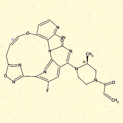 C=CC(=O)N1CCN(c2nc(=O)n3c4nc(c(F)cc24)-c2noc(n2)C/C=C\Oc2ccnc(C(C)C)c2-3)[C@@H](C)C1